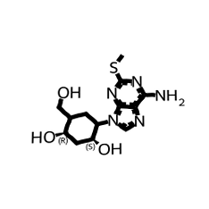 CSc1nc(N)c2ncn(C3CC(CO)[C@H](O)C[C@@H]3O)c2n1